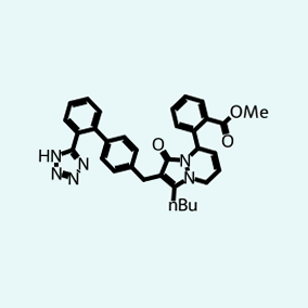 CCCCc1c(Cc2ccc(-c3ccccc3-c3nnn[nH]3)cc2)c(=O)n2n1CC=CC2c1ccccc1C(=O)OC